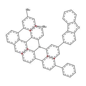 CC(C)(C)c1cc(-c2cccc3cccc(-c4ccccc4N(c4cccc(-c5ccc6oc7ccccc7c6c5)c4)c4ccccc4-c4ccc(-c5ccccc5)cc4)c23)cc(C(C)(C)C)c1